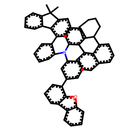 CC1(C)c2ccccc2-c2c(-c3ccccc3N(c3cccc(-c4cccc5c4oc4ccccc45)c3)c3ccccc3-c3cccc4cccc(C5CCCCC5)c34)cccc21